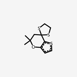 CC1(C)CC2(SCCS2)c2sccc2O1